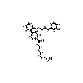 O=C(O)CCCCCC(=O)N1CCc2c(n(CCCCc3ccccc3)c3ncccc23)C1